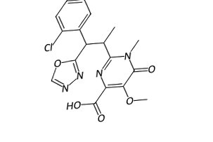 COc1c(C(=O)O)nc(C(C)C(c2nnco2)c2ccccc2Cl)n(C)c1=O